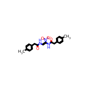 Cc1ccc(CC(=O)NC=C(NC(=O)Cc2ccc(C)cc2)[N+](=O)[O-])cc1